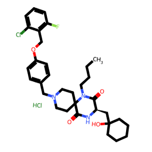 CCCCN1C(=O)[C@@H](CC2(O)CCCCC2)NC(=O)C12CCN(Cc1ccc(OCc3c(F)cccc3Cl)cc1)CC2.Cl